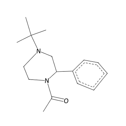 CC(=O)N1CCN(C(C)(C)C)CC1c1ccccc1